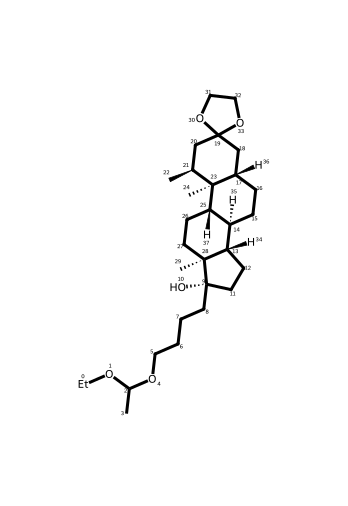 CCOC(C)OCCCC[C@]1(O)CC[C@H]2[C@@H]3CC[C@H]4CC5(C[C@H](C)[C@]4(C)[C@H]3CC[C@@]21C)OCCO5